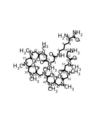 CN(CC(=O)NCCCC[C@@H](N)C(N)=O)C(=O)CN(C)C(=O)CN(C)C(=O)CN(C)C(=O)CN(C)C(=O)CN(C)C(=O)CN(C)C(=O)CN(C)C(=O)CN(C)C(=O)CN(C)C(=O)CCN